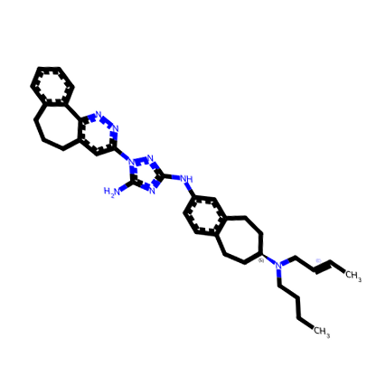 C/C=C/CN(CCCC)[C@H]1CCc2ccc(Nc3nc(N)n(-c4cc5c(nn4)-c4ccccc4CCC5)n3)cc2CC1